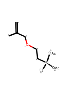 C=C(C)COCC[Si](CC)(OC(C)=O)OC(C)=O